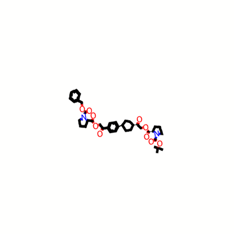 CC(C)(C)OC(=O)N1CCC[C@H]1C(=O)OCC(=O)[C@H]1CC[C@H](c2ccc(C(=O)COC(=O)C3CCCN3C(=O)OCc3ccccc3)cc2)CC1